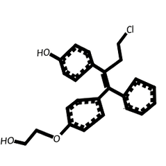 OCCOc1ccc(C(=C(CCCl)c2ccc(O)cc2)c2[c]cccc2)cc1